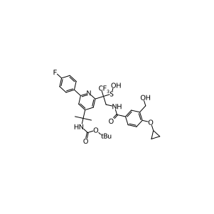 CC(C)(C)OC(=O)NC(C)(C)c1cc(-c2ccc(F)cc2)nc(C(CNC(=O)c2ccc(OC3CC3)c(CO)c2)(SO)C(F)(F)F)c1